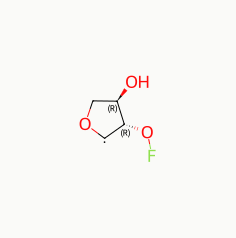 O[C@@H]1CO[CH][C@H]1OF